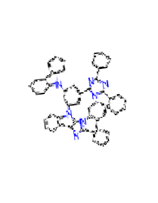 c1ccc(-c2nc(-c3ccccc3)nc(-c3cc(-n4c5ccccc5c5ccccc54)cc(-n4c5ccccc5c5nc6c7ccccc7c7ccccc7n6c54)c3)n2)cc1